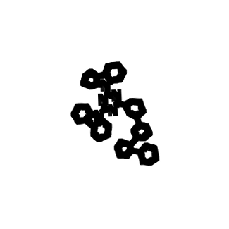 c1ccc(-c2ccccc2-c2cccc(-c3cccc(-c4nc(-n5c6ccccc6c6ccccc65)nc(-n5c6ccccc6c6ccccc65)n4)c3)c2)cc1